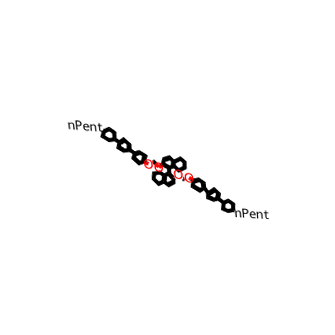 CCCCCC1CCC(c2ccc(-c3ccc(OCOc4ccc5c(c4-c4c(OCOc6ccc(-c7ccc(C8CCC(CCCCC)CC8)cc7)cc6)ccc6c4CCCC6)CCCC5)cc3)cc2)CC1